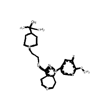 COc1ncc(-n2nc(OCCN3CCC(C(C)(C)O)CC3)c3c2CCOCC3)cc1F